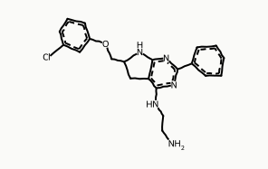 NCCNc1nc(-c2ccccc2)nc2c1CC(COc1cccc(Cl)c1)N2